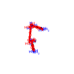 N=C(N)Nc1ccc(C(=O)Oc2ccc(COC(=O)N[C@@H](CC(=O)O)C(=O)N[C@@H](CC(=O)O)C(=O)NCCOCCOCCOCCOCCNC(=O)[C@H](CC(=O)O)NC(=O)[C@H](CC(=O)OC(=O)C(F)(F)F)NC(=O)OCc3ccc(OC(=O)c4ccc(NC(=N)N)cc4)cc3)cc2)cc1